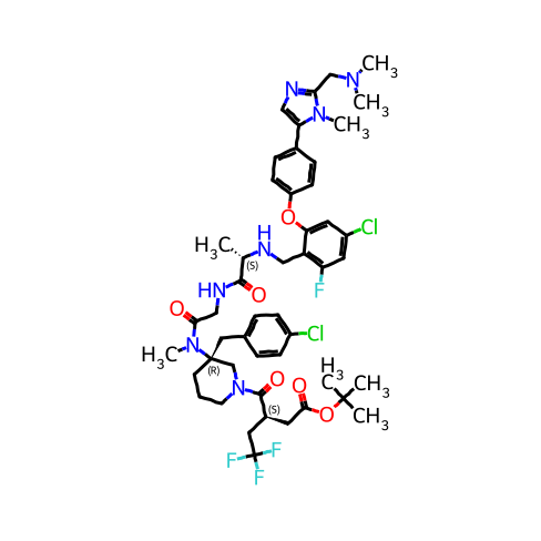 C[C@H](NCc1c(F)cc(Cl)cc1Oc1ccc(-c2cnc(CN(C)C)n2C)cc1)C(=O)NCC(=O)N(C)[C@@]1(Cc2ccc(Cl)cc2)CCCN(C(=O)[C@@H](CC(=O)OC(C)(C)C)CC(F)(F)F)C1